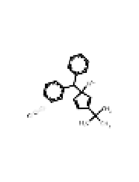 CC(C)(C)C1=C[C]([Ti+3])(C(c2ccccc2)c2ccccc2)C=C1.[Cl-].[Cl-].[Cl-]